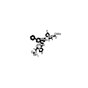 COC(=O)N[C@@H](C)C(=O)N1C[C@@H](F)C[C@H]1c1ncc(C2(c3cnc([C@@H]4C[C@H](F)CN4C(=O)[C@H](C)OC(N)=O)[nH]3)C=CC(c3ccccc3)=CC2)[nH]1